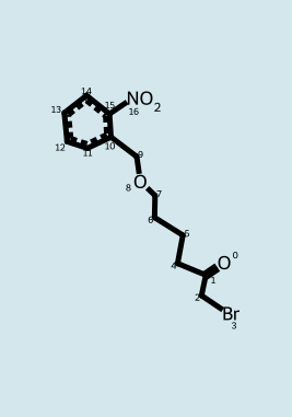 O=C(CBr)CCCCOCc1ccccc1[N+](=O)[O-]